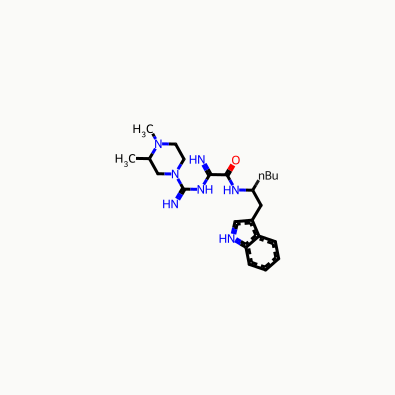 CCCCC(Cc1c[nH]c2ccccc12)NC(=O)C(=N)NC(=N)N1CCN(C)C(C)C1